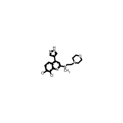 CN(CCN1CCOCC1)c1cc(-c2cn[nH]c2)c2ccc(Cl)c(Cl)c2n1